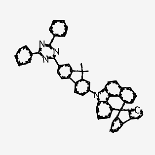 CC1(C)c2cc(-c3nc(-c4ccccc4)nc(-c4ccccc4)n3)ccc2-c2ccc(-n3c4cccc5c4c4c6c(cccc6ccc43)C53c4ccccc4-c4ccccc43)cc21